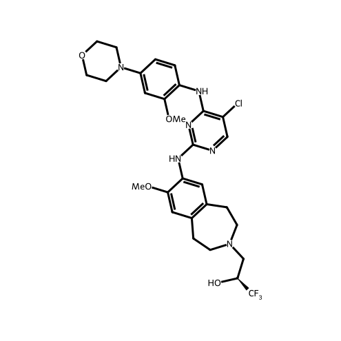 COc1cc2c(cc1Nc1ncc(Cl)c(Nc3ccc(N4CCOCC4)cc3OC)n1)CCN(C[C@H](O)C(F)(F)F)CC2